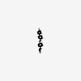 N#CC=C[C@H]1CC[C@H](/C=C/[C@H]2CC[C@H](c3ccc(F)cc3)CC2)CC1